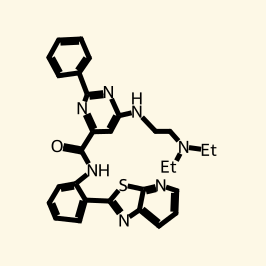 CCN(CC)CCNc1cc(C(=O)Nc2ccccc2-c2nc3cccnc3s2)nc(-c2ccccc2)n1